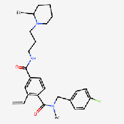 C=Cc1cc(C(=O)NCCCN2CCCCC2CC)ccc1C(=O)N(Cc1ccc(F)cc1)C(C)=O